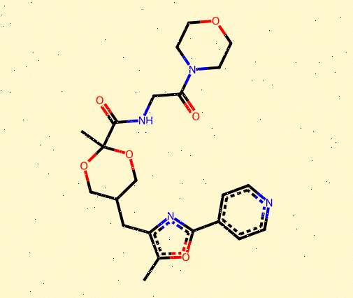 Cc1oc(-c2ccncc2)nc1CC1COC(C)(C(=O)NCC(=O)N2CCOCC2)OC1